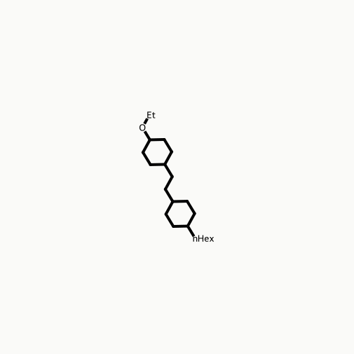 CCCCCCC1CCC(CCC2CCC(OCC)CC2)CC1